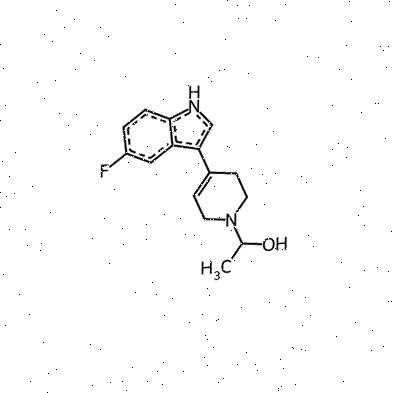 CC(O)N1CC=C(c2c[nH]c3ccc(F)cc23)CC1